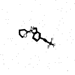 FC(F)(F)C#Cc1ccc2c(cnn2C2CCCCO2)c1